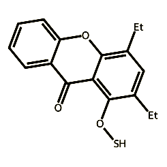 CCc1cc(CC)c2oc3ccccc3c(=O)c2c1OS